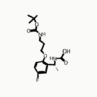 C[C@@H](NC(=O)O)c1cc(F)ccc1OCCCNC(=O)OC(C)(C)C